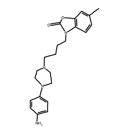 Cc1ccc2c(c1)oc(=O)n2CCCCN1CCN(c2ccc(N)cc2)CC1